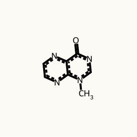 Cn1cnc(=O)c2nccnc21